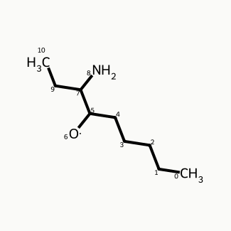 CCCCCC([O])C(N)CC